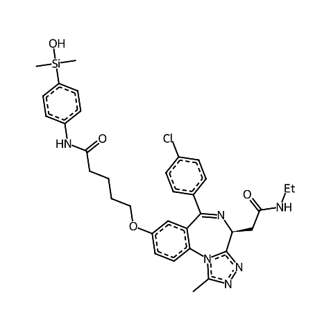 CCNC(=O)C[C@@H]1N=C(c2ccc(Cl)cc2)c2cc(OCCCCC(=O)Nc3ccc([Si](C)(C)O)cc3)ccc2-n2c(C)nnc21